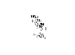 CC1(C)C[C@@H](CNc2cnc(Cl)c(-c3cc(NC(=O)C4=CCCNC4)ncc3Cl)n2)CCO1